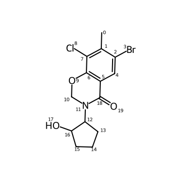 Cc1c(Br)cc2c(c1Cl)OCN(C1CCCC1O)C2=O